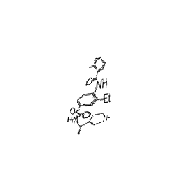 CCc1cc(S(=O)(=O)N[C@H](C)C2CCN(C)CC2)ccc1NC(=O)c1ccccc1C